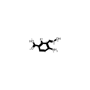 Nc1ccc(C(=O)O)c(F)c1C=NO